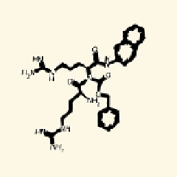 N=C(N)NCCC[C@H](N)C(=O)N(C(=O)OCc1ccccc1)[C@@H](CCCNC(=N)N)C(=O)Nc1ccc2ccccc2c1